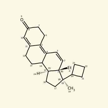 CC[C@]12C=CC3=C4CCC(=O)C=C4CCC3[C@@H]1CC[C@]2(C)C1CCC1